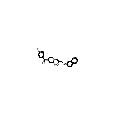 O=C(c1ccc(F)cc1)C1CCN(CC(O)COc2ccc3ccccc3c2)CC1